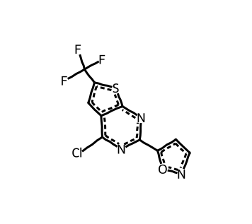 FC(F)(F)c1cc2c(Cl)nc(-c3ccno3)nc2s1